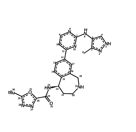 Cc1n[nH]cc1Nc1nccc(-c2ccc3c(c2)CNCC[C@H]3NC(=O)c2nnc(C(C)(C)C)o2)n1